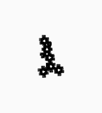 CC1(C)c2cc(C3=NC(c4ccccc4)=CC(c4ccccc4)C3)ccc2-c2cc3oc4ccccc4c3cc21